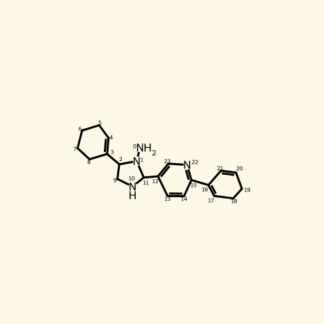 NN1C(C2=CCCCC2)CNC1c1ccc(C2=CCCC=C2)nc1